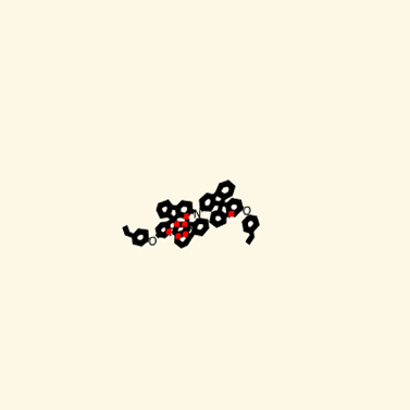 C=Cc1ccc(Oc2ccc(C3(c4ccccc4F)c4ccccc4-c4ccc(N(c5ccc6c(c5)C(c5ccc(Oc7ccc(C=C)cc7)cc5)(c5ccccc5F)c5ccccc5-6)c5cccc6c5C(C)(C)c5ccccc5-6)cc43)cc2)cc1